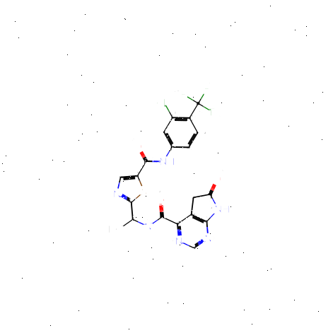 CC(NC(=O)c1ncnc2c1CC(=O)N2)c1ncc(C(=O)Nc2ccc(C(F)(F)F)c(Cl)c2)s1